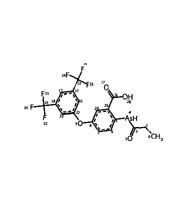 CCC(=O)[AsH]c1ccc(Oc2cc(C(F)(F)F)cc(C(F)(F)F)c2)cc1C(=O)O